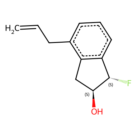 C=CCc1cccc2c1C[C@H](O)[C@H]2F